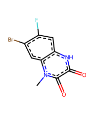 Cn1c(=O)c(=O)[nH]c2cc(F)c(Br)cc21